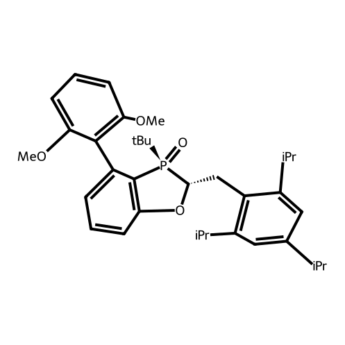 COc1cccc(OC)c1-c1cccc2c1[P@@](=O)(C(C)(C)C)[C@H](Cc1c(C(C)C)cc(C(C)C)cc1C(C)C)O2